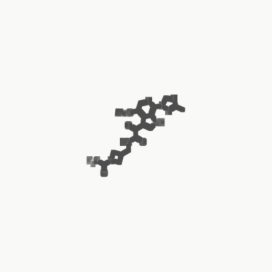 COc1cnc(-n2cnc(C)n2)c2[nH]cc(C(=O)C(=O)NCC3CN(C(=O)C(F)(F)F)C3)c12